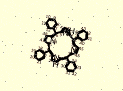 Nn1c2ccc1c(-c1ccccc1)c1nc(c(-c3ccccc3)c3ccc([nH]3)c(-c3ccccc3)c3nc(c2-c2ccccc2)C=C3)C=C1